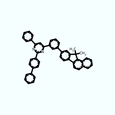 CC1(C)c2cc(-c3cccc(-c4cc(-c5ccccc5)nc(-c5ccc(-c6ccccc6)cc5)n4)c3)ccc2-c2ccc3ccccc3c21